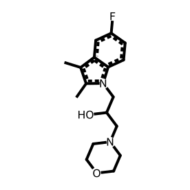 Cc1c(C)n(CC(O)CN2CCOCC2)c2ccc(F)cc12